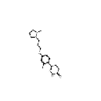 Cc1cc(OCCCN2CCC[C@H]2C)ccc1C1=NNC(=O)CC1